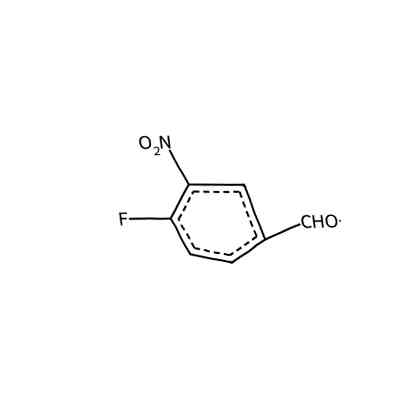 O=[C]c1ccc(F)c([N+](=O)[O-])c1